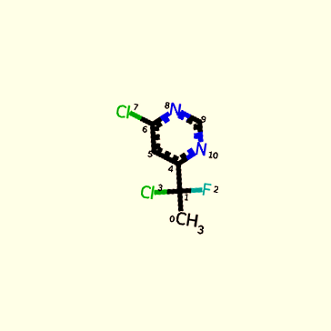 CC(F)(Cl)c1cc(Cl)ncn1